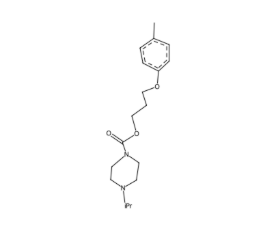 Cc1ccc(OCCCOC(=O)N2CCN(C(C)C)CC2)cc1